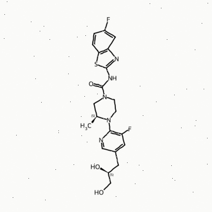 C[C@H]1CN(C(=O)Nc2nc3cc(F)ccc3s2)CCN1c1ncc(C[C@H](O)CO)cc1F